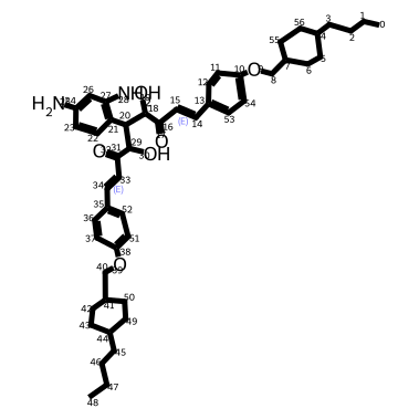 CCCCC1CCC(COc2ccc(/C=C/C(=O)C(O)C(c3ccc(N)cc3N)C(O)C(=O)/C=C/c3ccc(OCC4CCC(CCCC)CC4)cc3)cc2)CC1